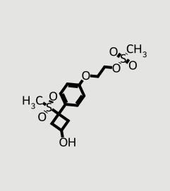 CS(=O)(=O)OCCOc1ccc(C2(S(C)(=O)=O)CC(O)C2)cc1